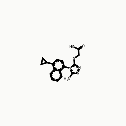 Nc1nnc(SCC(=O)S)n1-c1ccc(C2CC2)c2ccccc12